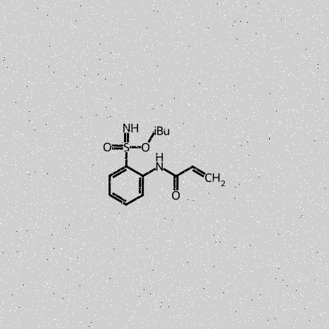 C=CC(=O)Nc1ccccc1S(=N)(=O)OC(C)CC